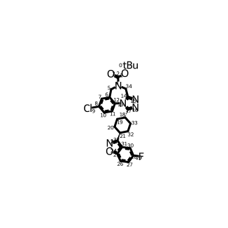 CC(C)(C)OC(=O)N1Cc2cc(Cl)ccc2-n2c(nnc2[C@H]2CC[C@H](c3noc4ccc(F)cc43)CC2)C1